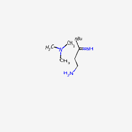 CCCCC(=N)CCN.CN(C)C